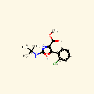 COC(=O)c1nc(NC(C)(C)C)oc1-c1ccccc1Cl